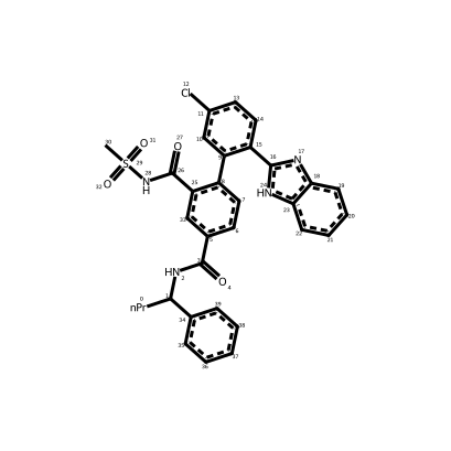 CCCC(NC(=O)c1ccc(-c2cc(Cl)ccc2-c2nc3ccccc3[nH]2)c(C(=O)NS(C)(=O)=O)c1)c1ccccc1